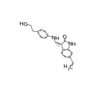 C=Cc1ccc2c(c1)NC(=O)/C2=C\Nc1ccc(CCO)cc1